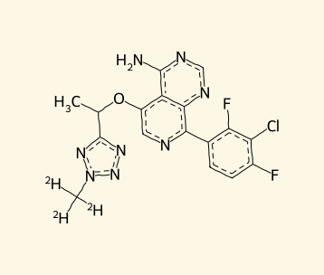 [2H]C([2H])([2H])n1nnc(C(C)Oc2cnc(-c3ccc(F)c(Cl)c3F)c3ncnc(N)c23)n1